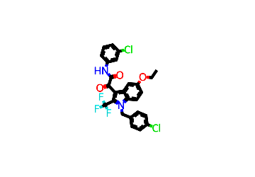 CCOc1ccc2c(c1)c(C(=O)C(=O)Nc1cccc(Cl)c1)c(C(F)(F)F)n2Cc1ccc(Cl)cc1